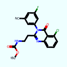 CC(C)(C)OC(=O)NCCc1nc2cccc(Cl)c2c(=O)n1-c1cc(F)cc(C#N)c1